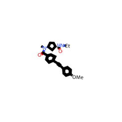 CCNC(=O)[C@H]1CC[C@@H](N(C)C(=O)c2ccc(C#Cc3ccc(OC)cc3)cc2)C1